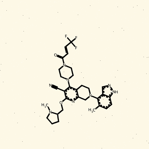 Cc1ccc2[nH]ncc2c1N1CCc2c(nc(OCC3CCCN3C)c(C#N)c2N2CCN(C(=O)C=CC(F)(F)F)CC2)C1